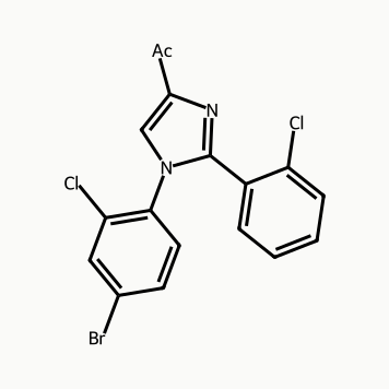 CC(=O)c1cn(-c2ccc(Br)cc2Cl)c(-c2ccccc2Cl)n1